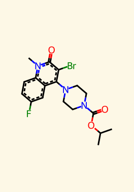 CC(C)OC(=O)N1CCN(c2c(Br)c(=O)n(C)c3ccc(F)cc23)CC1